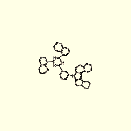 c1cc(-c2nc(-c3cccc4ccccc34)nc(-c3cccc4ccccc34)n2)cc(-n2c3ccc4ccccc4c3c3c4ccccc4ccc32)c1